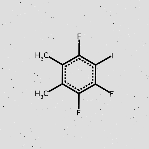 Cc1c(C)c(F)c(I)c(F)c1F